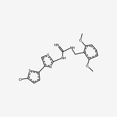 COc1cccc(OC)c1CNC(=N)Nc1nc(-c2ccc(Cl)s2)cs1